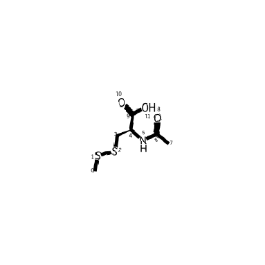 CSSC[C@H](NC(C)=O)C(=O)O